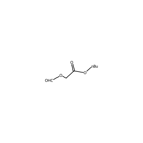 CCCCOC(=O)COC=O